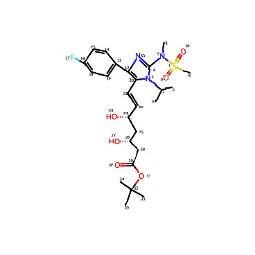 CC(C)n1c(N(C)S(C)(=O)=O)nc(-c2ccc(F)cc2)c1C=C[C@@H](O)C[C@@H](O)CC(=O)OC(C)(C)C